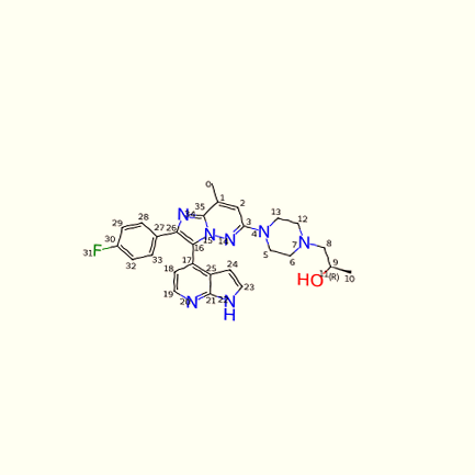 Cc1cc(N2CCN(C[C@@H](C)O)CC2)nn2c(-c3ccnc4[nH]ccc34)c(-c3ccc(F)cc3)nc12